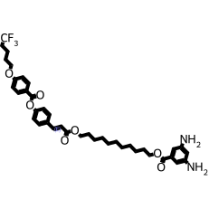 Nc1cc(N)cc(C(=O)OCCCCCCCCCCCOC(=O)/C=C/c2ccc(OC(=O)c3ccc(OCCCCC(F)(F)F)cc3)cc2)c1